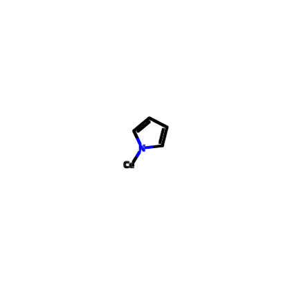 [Ce][n]1cccc1